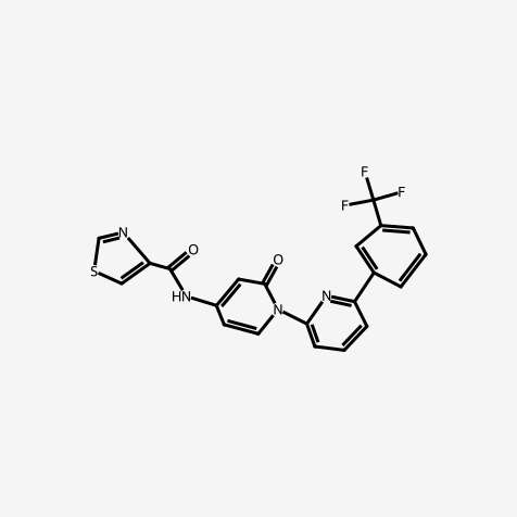 O=C(Nc1ccn(-c2cccc(-c3cccc(C(F)(F)F)c3)n2)c(=O)c1)c1cscn1